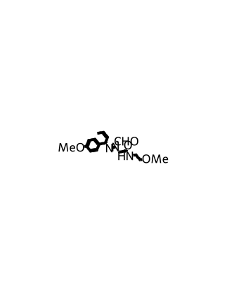 C/C=C\C(=N/N(C=O)CC(=O)NCCOC)c1ccc(OC)cc1